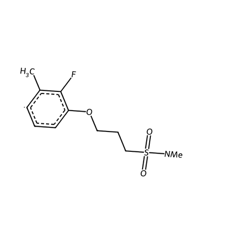 CNS(=O)(=O)CCCOc1cc[c]c(C)c1F